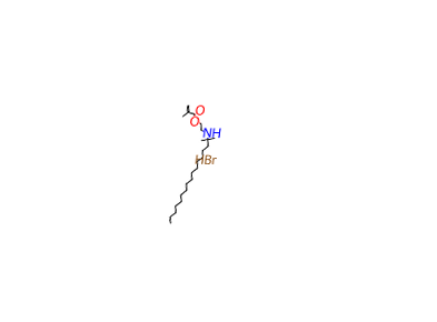 Br.C=C(C)C(=O)OCCNC(C)(C)CCCCCCCCCCCCCCC